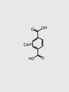 O=C(O)c1ccc(C(=O)O)cc1.[Cu].[LiH]